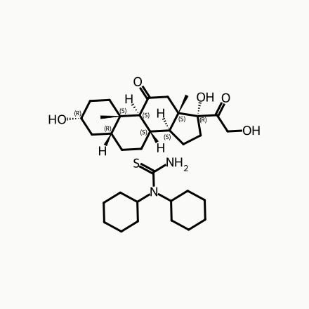 C[C@]12CC[C@@H](O)C[C@H]1CC[C@@H]1[C@@H]2C(=O)C[C@@]2(C)[C@H]1CC[C@]2(O)C(=O)CO.NC(=S)N(C1CCCCC1)C1CCCCC1